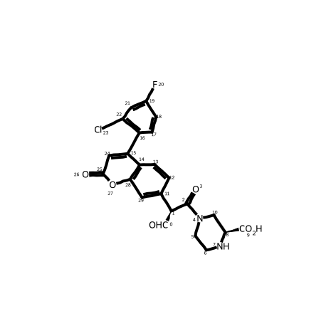 O=C[C@H](C(=O)N1CCN[C@H](C(=O)O)C1)c1ccc2c(-c3ccc(F)cc3Cl)cc(=O)oc2c1